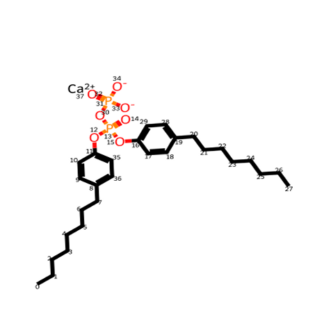 CCCCCCCCc1ccc(OP(=O)(Oc2ccc(CCCCCCCC)cc2)OP(=O)([O-])[O-])cc1.[Ca+2]